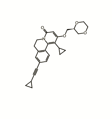 O=c1cc(OC[C@@H]2COCCO2)c(C2CC2)c2n1CCc1cc(C#CC3CC3)ccc1-2